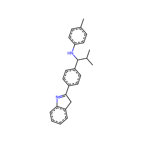 Cc1ccc(NC(c2ccc(C3=Nc4ccccc4C3)cc2)C(C)C)cc1